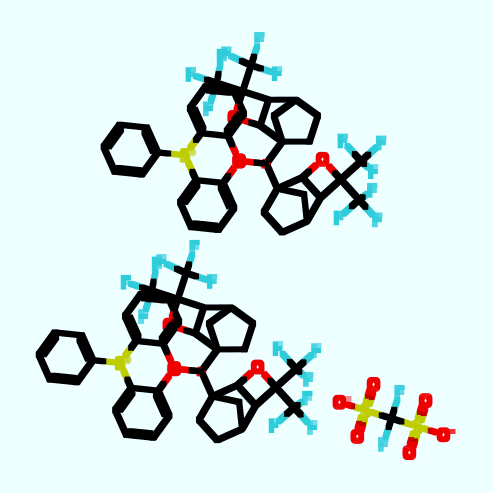 FC(F)(F)C1(C(F)(F)F)OC2C1C1CCC2(COc2ccccc2[S+](c2ccccc2)c2ccccc2OCC23CCC(C2)C2C3OC2(C(F)(F)F)C(F)(F)F)C1.FC(F)(F)C1(C(F)(F)F)OC2C1C1CCC2(COc2ccccc2[S+](c2ccccc2)c2ccccc2OCC23CCC(C2)C2C3OC2(C(F)(F)F)C(F)(F)F)C1.O=S(=O)([O-])C(F)(F)S(=O)(=O)[O-]